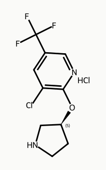 Cl.FC(F)(F)c1cnc(O[C@H]2CCNC2)c(Cl)c1